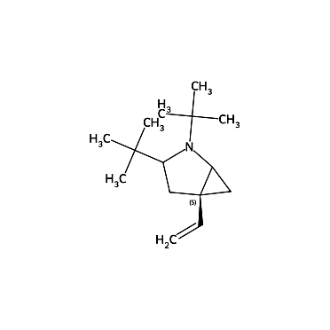 C=C[C@@]12CC(C(C)(C)C)N(C(C)(C)C)C1C2